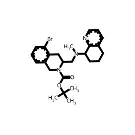 CN(CC1Cc2c(Br)cccc2CN1C(=O)OC(C)(C)C)C1CCCc2cccnc21